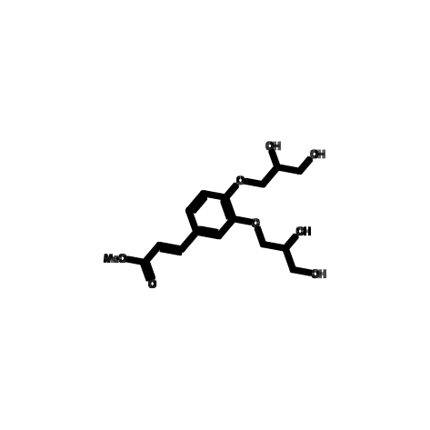 COC(=O)C=Cc1ccc(OCC(O)CO)c(OCC(O)CO)c1